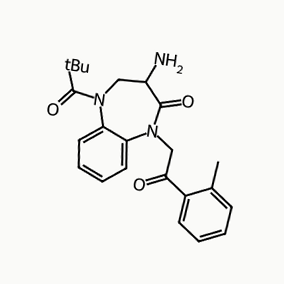 Cc1ccccc1C(=O)CN1C(=O)C(N)CN(C(=O)C(C)(C)C)c2ccccc21